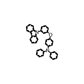 c1ccc(N(c2ccccc2)c2ccc(Oc3cccc(-n4c5ccccc5c5ccccc54)c3)cc2)cc1